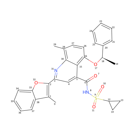 Cc1c(-c2cc(C(=O)NS(=O)(=O)C3CC3)c3c(O[C@H](C)c4ccccc4)ccc(C)c3n2)oc2ccccc12